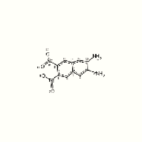 Nc1cc2cc([N+](=O)[O-])c([N+](=O)[O-])cc2cc1N